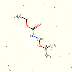 CCOC(=O)N[SiH2]O[SiH](C)C